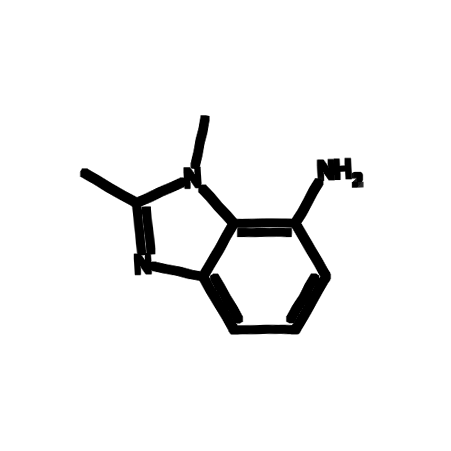 Cc1nc2cccc(N)c2n1C